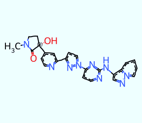 CN1CC[C@@](O)(c2ccnc(-c3ccn(-c4ccnc(Nc5cnn6ccccc56)n4)n3)c2)C1=O